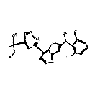 CC(O)(CO)c1ccnc(-c2ccnc3cc(C(N)c4c(F)cccc4Cl)sc23)c1